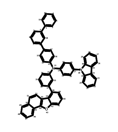 c1ccc(-c2cccc(-c3ccc(N(c4ccc(-n5c6ccccc6c6ccccc65)cc4)c4cccc(-c5cccc6oc7c8ccccc8ccc7c56)c4)cc3)c2)cc1